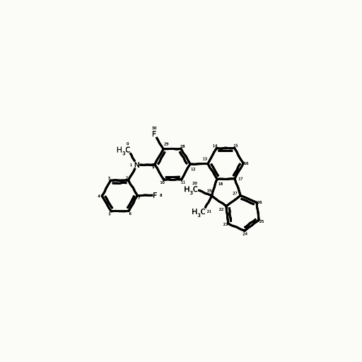 CN(c1ccccc1F)c1ccc(-c2cccc3c2C(C)(C)c2ccccc2-3)cc1F